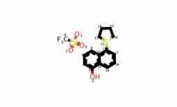 O=S(=O)([O-])C(F)(F)F.Oc1cccc2c([S+]3CCCC3)cccc12